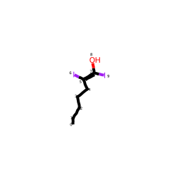 CCCCCC(I)=C(O)I